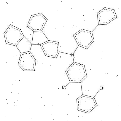 CCc1ccccc1-c1ccc(N(c2ccc(-c3ccccc3)cc2)c2ccc3c(c2)-c2ccccc2C32c3ccccc3-c3ccccc32)cc1CC